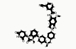 COc1cc2nn([C@H]3CC[C@H](CN(C)C4CCN(c5cccc6c5n(C)c(=O)n6C5CCC(=O)NC5=O)CC4)CC3)cc2cc1NC(=O)c1cncc(C#N)c1